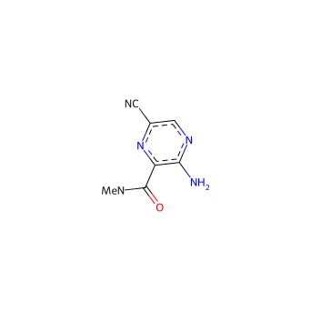 CNC(=O)c1nc(C#N)cnc1N